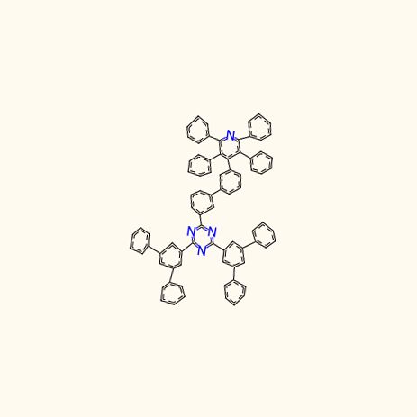 c1ccc(-c2cc(-c3ccccc3)cc(-c3nc(-c4cccc(-c5cccc(-c6c(-c7ccccc7)c(-c7ccccc7)nc(-c7ccccc7)c6-c6ccccc6)c5)c4)nc(-c4cc(-c5ccccc5)cc(-c5ccccc5)c4)n3)c2)cc1